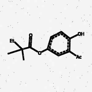 CCC(C)(C)C(=O)Oc1ccc(O)c(C(C)=O)c1